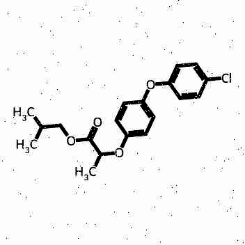 CC(C)COC(=O)C(C)Oc1ccc(Oc2ccc(Cl)cc2)cc1